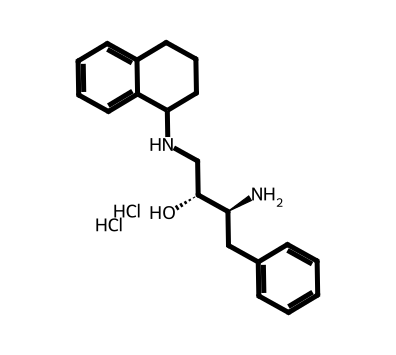 Cl.Cl.N[C@@H](Cc1ccccc1)[C@H](O)CNC1CCCc2ccccc21